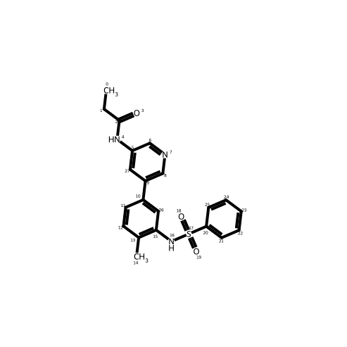 CCC(=O)Nc1cncc(-c2ccc(C)c(NS(=O)(=O)c3ccccc3)c2)c1